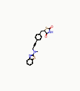 CN(CC#Cc1ccc(CC2SC(=O)NC2=O)cc1)c1nc2ccccc2s1